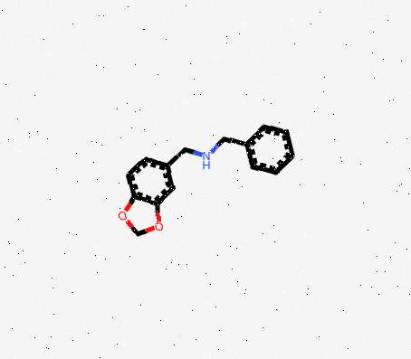 c1ccc(CNCc2ccc3c(c2)OCO3)cc1